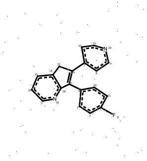 Fc1ccc(C2=C(c3ccncc3)Cc3cccnc32)cc1